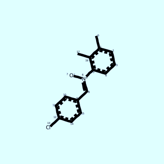 Cc1cccc([N+]([O-])=Cc2ccc(Cl)cc2)c1C